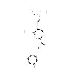 CCN(C)/C=N/c1cnc(C(=O)COc2cccc(F)c2)nc1C